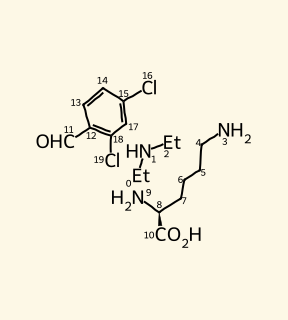 CCNCC.NCCCC[C@H](N)C(=O)O.O=Cc1ccc(Cl)cc1Cl